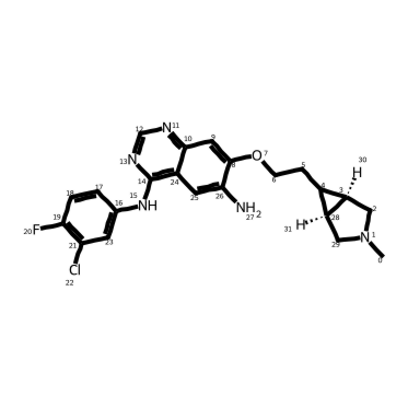 CN1C[C@@H]2C(CCOc3cc4ncnc(Nc5ccc(F)c(Cl)c5)c4cc3N)[C@@H]2C1